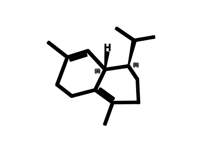 CC1=C[C@H]2C(=C(C)CC[C@@H]2C(C)C)CC1